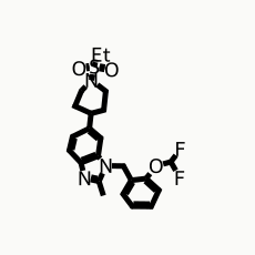 CCS(=O)(=O)N1CCC(c2ccc3nc(C)n(Cc4ccccc4OC(F)F)c3c2)CC1